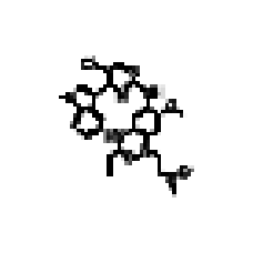 C=CC(=O)Nc1cc(Nc2ncc(Cl)c(-c3cn(C)c4ccccc34)n2)c(OC)cc1N(C)CC[S+](C)[O-]